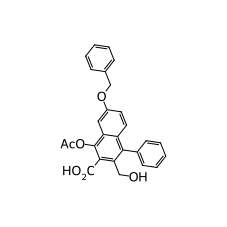 CC(=O)Oc1c(C(=O)O)c(CO)c(-c2ccccc2)c2ccc(OCc3ccccc3)cc12